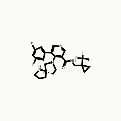 O=C(NCC1(C(F)(F)F)CC1)c1cncc(-c2cc(F)cc(F)c2)c1N1CC[C@@]2(CCCN2)C1